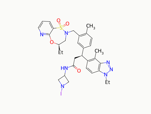 CC[C@@H]1CN(Cc2cc([C@H](CC(=O)NC3CN(I)C3)c3ccc4c(nnn4CC)c3C)ccc2C)S(=O)(=O)c2cccnc2O1